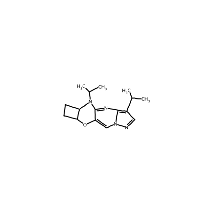 CC(C)c1cnn2cc3c(nc12)N(C(C)C)C1CCC1O3